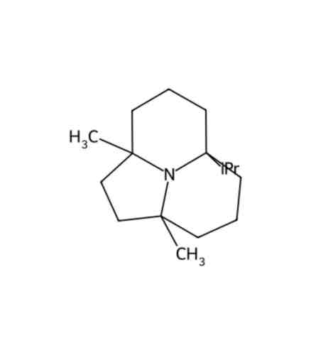 CC(C)C12CCCC3(C)CCC(C)(CCC1)N32